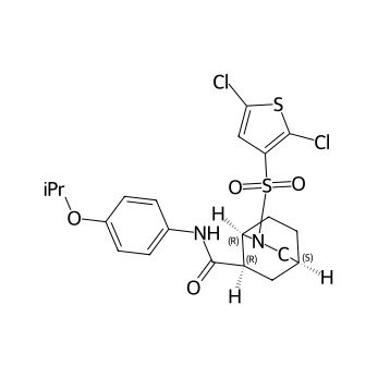 CC(C)Oc1ccc(NC(=O)[C@@H]2C[C@@H]3CC[C@H]2N(S(=O)(=O)c2cc(Cl)sc2Cl)C3)cc1